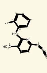 [N-]=[N+]=Nc1ccc(C(=O)O)c(Nc2ccccc2F)n1